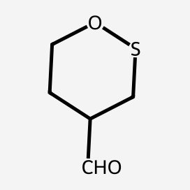 O=CC1CCOSC1